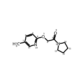 Cc1ccc(OCC(=O)N2CCCC2)nc1